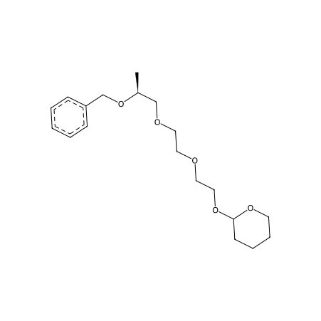 C[C@@H](COCCOCCOC1CCCCO1)OCc1ccccc1